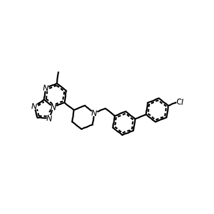 Cc1cc(C2CCCN(Cc3cccc(-c4ccc(Cl)cc4)c3)C2)n2ncnc2n1